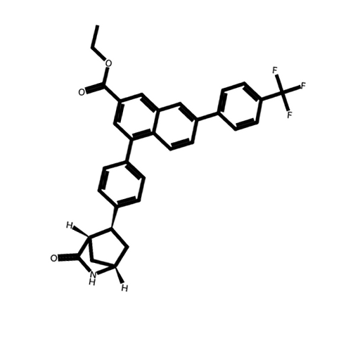 CCOC(=O)c1cc(-c2ccc([C@H]3C[C@H]4C[C@@H]3C(=O)N4)cc2)c2ccc(-c3ccc(C(F)(F)F)cc3)cc2c1